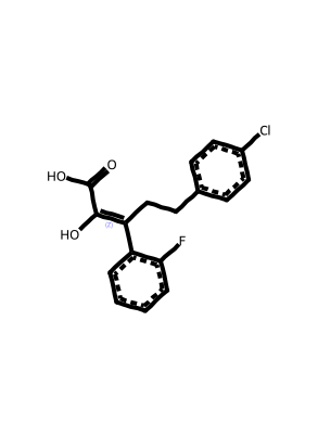 O=C(O)/C(O)=C(\CCc1ccc(Cl)cc1)c1ccccc1F